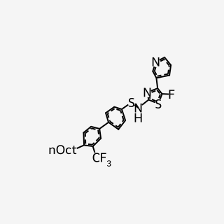 CCCCCCCCc1ccc(-c2ccc(SNc3nc(-c4cccnc4)c(F)s3)cc2)cc1C(F)(F)F